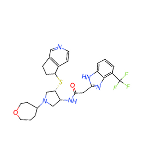 O=C(Cc1nc2c(C(F)(F)F)cccc2[nH]1)NC1CN(C2CCCOCC2)C[C@@H]1SC1CCc2cnccc21